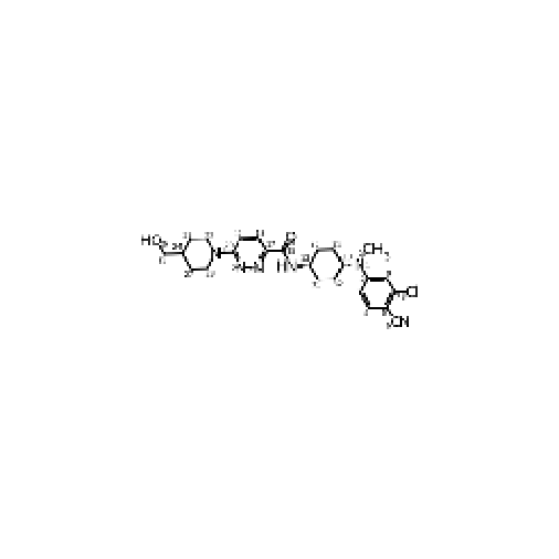 CN(c1ccc(C#N)c(Cl)c1)[C@H]1CC[C@H](NC(=O)c2ccc(N3CCC(CO)CC3)nn2)CC1